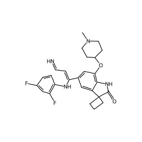 CN1CCC(Oc2cc(/C(=C/C=N)Nc3ccc(F)cc3F)cc3c2NC(=O)C32CCC2)CC1